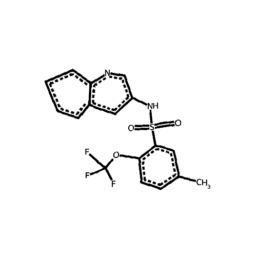 Cc1ccc(OC(F)(F)F)c(S(=O)(=O)Nc2cnc3ccccc3c2)c1